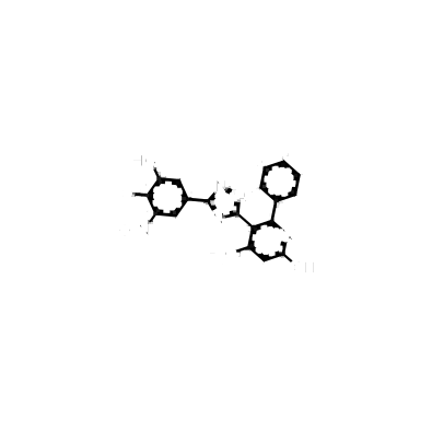 Cc1cc(C(F)(F)F)c(-c2nc(-c3cc(O)c(O)c([N+](=O)[O-])c3)no2)c(-c2ccccc2)n1